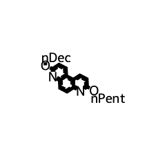 CCCCCCCCCCOc1ccc2c(ccc3nc(OCCCCC)ccc32)n1